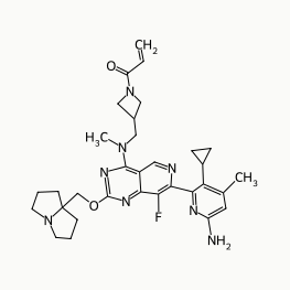 C=CC(=O)N1CC(CN(C)c2nc(OCC34CCCN3CCC4)nc3c(F)c(-c4nc(N)cc(C)c4C4CC4)ncc23)C1